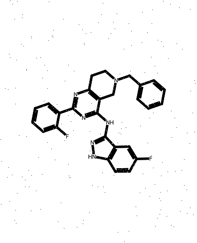 Fc1ccc2[nH]nc(Nc3nc(-c4ccccc4F)nc4c3CN(Cc3ccccc3)CC4)c2c1